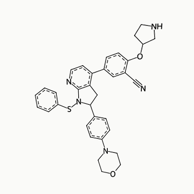 N#Cc1cc(-c2ccnc3c2CC(c2ccc(N4CCOCC4)cc2)N3Sc2ccccc2)ccc1OC1CCNC1